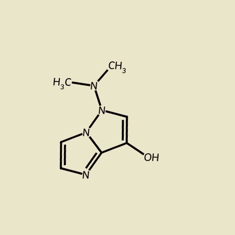 CN(C)n1cc(O)c2nccn21